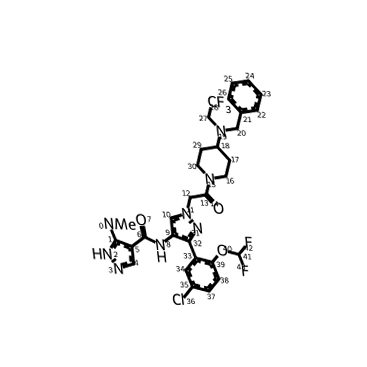 CNc1[nH]ncc1C(=O)Nc1cn(CC(=O)N2CCC(N(Cc3ccccc3)CC(F)(F)F)CC2)nc1-c1cc(Cl)ccc1OC(F)F